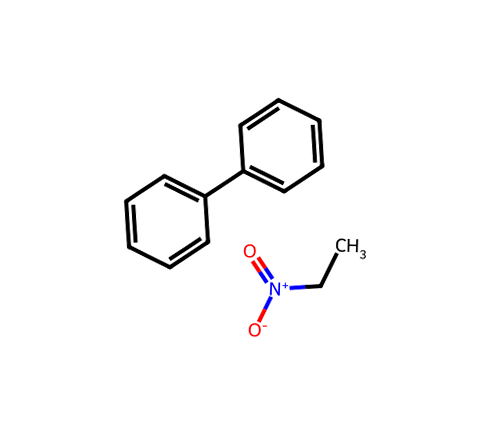 CC[N+](=O)[O-].c1ccc(-c2ccccc2)cc1